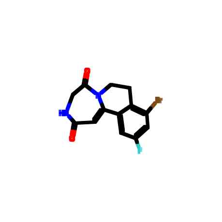 O=C1C=C2c3cc(F)cc(Br)c3CCN2C(=O)CN1